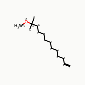 C=CCCCCCCCCCC(C)(C)O[SiH3]